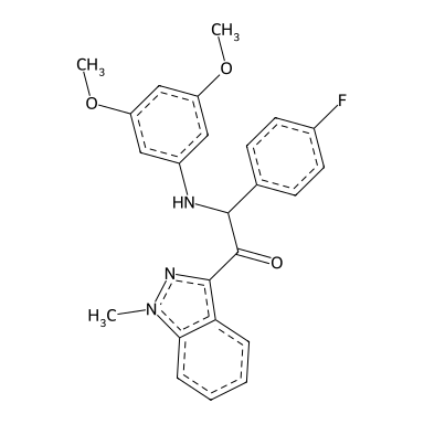 COc1cc(NC(C(=O)c2nn(C)c3ccccc23)c2ccc(F)cc2)cc(OC)c1